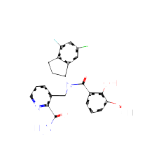 COc1cccc(C(=O)N(Cc2cccnc2C(N)=O)[C@@H]2CCc3c(F)cc(Cl)cc32)c1O